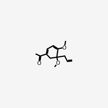 C=CCC1(OC)CC(C(C)=O)=CC=C1OC